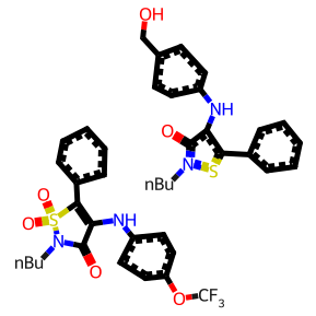 CCCCN1C(=O)C(Nc2ccc(OC(F)(F)F)cc2)=C(c2ccccc2)S1(=O)=O.CCCCn1sc(-c2ccccc2)c(Nc2ccc(CO)cc2)c1=O